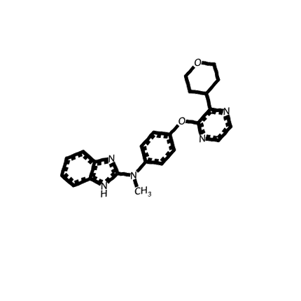 CN(c1ccc(Oc2nccnc2C2CCOCC2)cc1)c1nc2ccccc2[nH]1